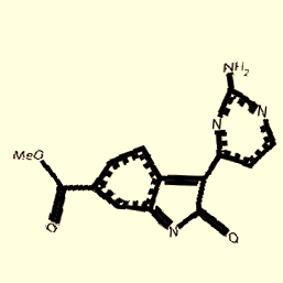 COC(=O)c1ccc2c(c1)=NC(=O)C=2c1ccnc(N)n1